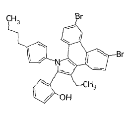 CCCCc1ccc(-n2c(-c3ccccc3O)c(CC)c3c4ccc(Br)cc4c4cc(Br)ccc4c32)cc1